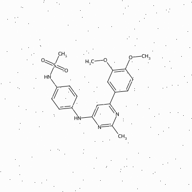 COc1ccc(-c2cc(Nc3ccc(NS(C)(=O)=O)cc3)nc(C)n2)cc1OC